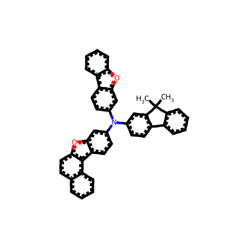 CC1(C)c2ccccc2-c2ccc(N(c3ccc4c(c3)oc3ccccc34)c3ccc4c(c3)oc3ccc5ccccc5c34)cc21